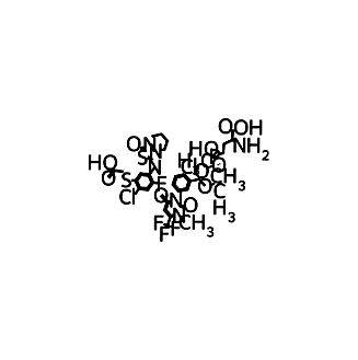 CC(C)OC(=O)c1cc(-n2c(=O)cc(C(F)(F)F)n(C)c2=O)ccc1Cl.CP(=O)(O)CCC(N)C(=O)O.O=C(O)CSc1cc(N=c2sc(=O)n3n2CCCC3)c(F)cc1Cl